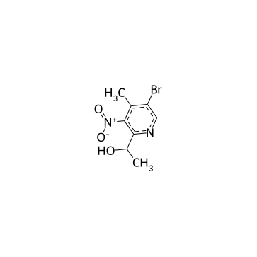 Cc1c(Br)cnc(C(C)O)c1[N+](=O)[O-]